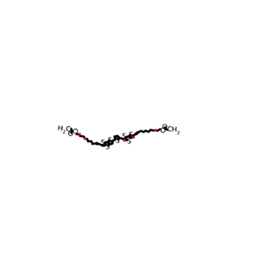 C=CC(=O)OCCCCCCCCCC#Cc1cc2sc3cc(-c4ccc(-c5cc6sc7cc(C#CCCCCCCCCCOC(=O)C=C)sc7c6s5)s4)sc3c2s1